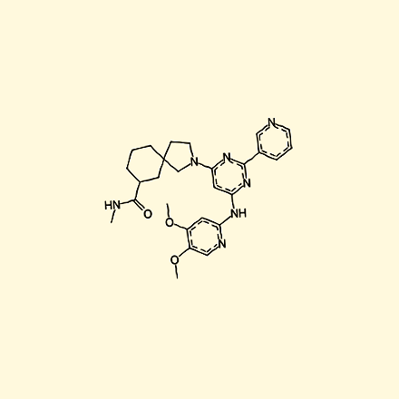 CNC(=O)C1CCCC2(CCN(c3cc(Nc4cc(OC)c(OC)cn4)nc(-c4cccnc4)n3)C2)C1